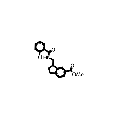 COC(=O)c1ccc2c(c1)C(CNC(=O)c1ccccc1Cl)CC2